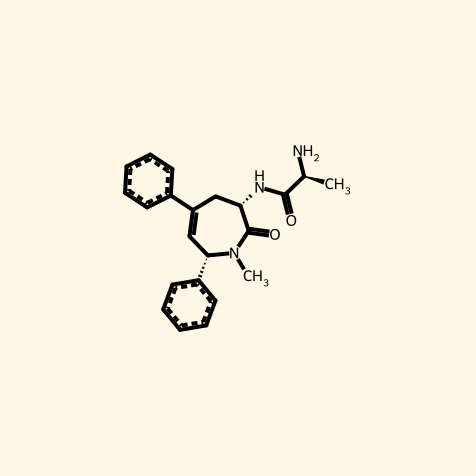 C[C@H](N)C(=O)N[C@H]1CC(c2ccccc2)=C[C@@H](c2ccccc2)N(C)C1=O